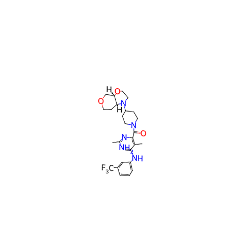 C=C(Nc1cccc(C(F)(F)F)c1)/C(C)=C(\N=C(\C)N)C(=O)N1CCC(N2CCO[C@H]3COCC[C@H]32)CC1